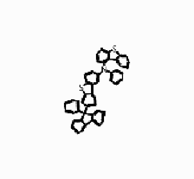 c1ccc(N(c2ccc3sc4cc(C5(c6ccccc6)c6ccccc6-c6ccccc65)ccc4c3c2)c2cccc3sc4ccccc4c23)cc1